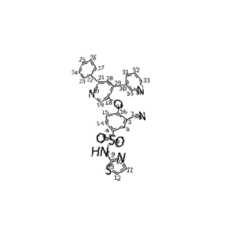 N#Cc1cc(S(=O)(=O)Nc2nccs2)ccc1Oc1cnc(-c2ccccc2)cc1-c1cccnc1